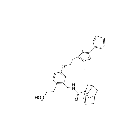 Cc1oc(-c2ccccc2)nc1CCOc1ccc(CCC(=O)O)c(CNC(=O)C23CC4CC(CC(C4)C2)C3)c1